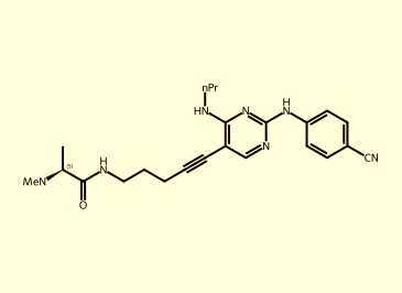 CCCNc1nc(Nc2ccc(C#N)cc2)ncc1C#CCCCNC(=O)[C@H](C)NC